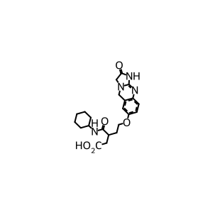 O=C(O)CC(CCOc1ccc2c(c1)CN1CC(=O)NC1=N2)C(=O)NC1CCCCC1